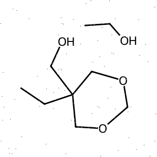 CCC1(CO)COCOC1.CCO